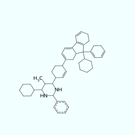 CC1C(C2C=CC(C3=CC=C4C5=C(CCC=C5)C(C5=CC=CCC5)(C5CCCCC5)C4C3)CC2)NC(c2ccccc2)NC1C1CCCCC1